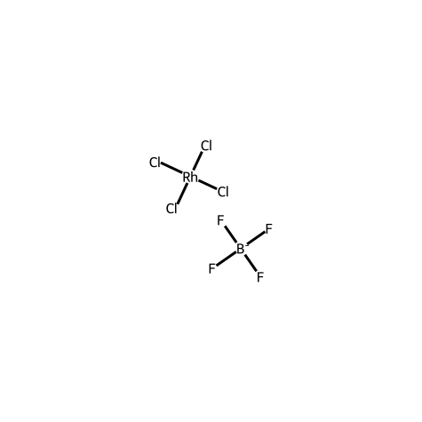 F[B-](F)(F)F.[Cl][Rh]([Cl])([Cl])[Cl]